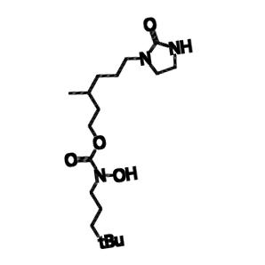 CC(CCCN1CCNC1=O)CCOC(=O)N(O)CCCC(C)(C)C